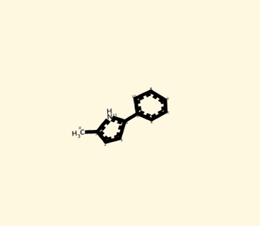 Cc1[c]cc(-c2ccccc2)[nH]1